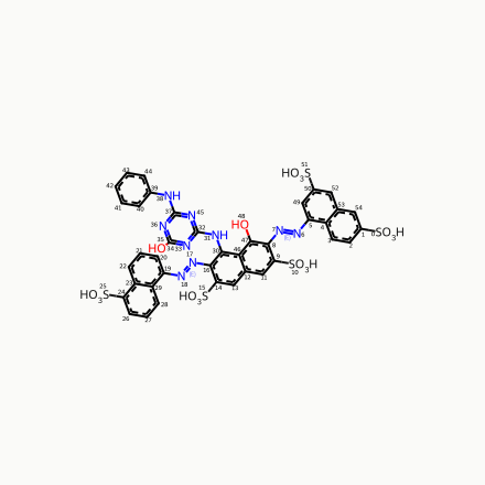 O=S(=O)(O)c1ccc2c(/N=N/c3c(S(=O)(=O)O)cc4cc(S(=O)(=O)O)c(/N=N/c5cccc6c(S(=O)(=O)O)cccc56)c(Nc5nc(O)nc(Nc6ccccc6)n5)c4c3O)cc(S(=O)(=O)O)cc2c1